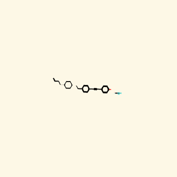 C=CCC[C@H]1CC[C@H](CCc2ccc(C#Cc3ccc(OC(F)C(F)(F)F)cc3)cc2)CC1